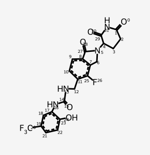 O=C1CCC(N2Cc3c(ccc(CNC(=O)Nc4cc(C(F)(F)F)ccc4O)c3F)C2=O)C(=O)N1